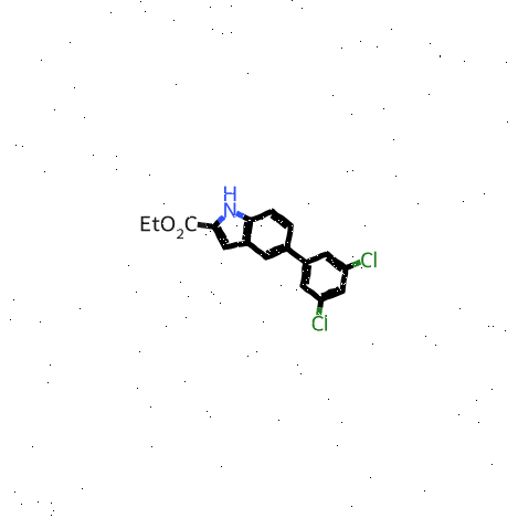 CCOC(=O)c1cc2cc(-c3cc(Cl)cc(Cl)c3)ccc2[nH]1